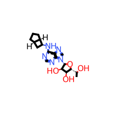 CC(O)[C@H]1O[C@@H](n2cnc3c(N[C@H]4C[C@H]5CCC[C@H]54)ncnc32)[C@H](O)[C@@H]1O